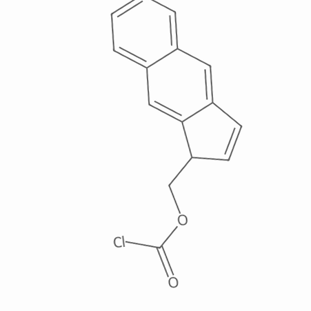 O=C(Cl)OCC1C=Cc2cc3ccccc3cc21